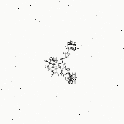 C=CC12CCc3cc(NS(=O)(=O)O)ccc3C1[C@@H](CCCCCCC(O)C(F)(F)F)C[C@@]1(C)C2CC[C@]1(C)O